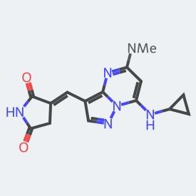 CNc1cc(NC2CC2)n2ncc(C=C3CC(=O)NC3=O)c2n1